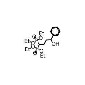 CCOP(=O)(OCC)C(CCC(O)c1ccccc1)P(=O)(OCC)OCC